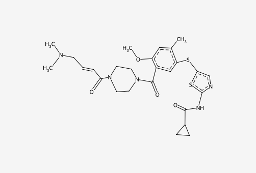 COc1cc(C)c(Sc2cnc(NC(=O)C3CC3)s2)cc1C(=O)N1CCN(C(=O)/C=C/CN(C)C)CC1